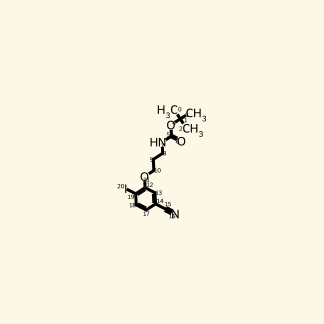 CC(C)(C)OC(=O)NCCCOc1cc(C#N)ccc1I